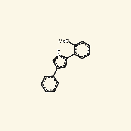 COc1ccccc1-c1cc(-c2ccccc2)c[nH]1